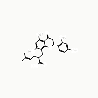 CC(C)=CCC(Cc1c(O)cc(O)c2c1O[C@H](c1ccc(O)cc1O)CC2=O)C(=O)O